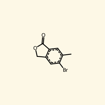 Cc1cc2c(cc1Br)COC2=O